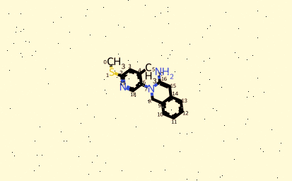 CSc1cc(C)c(N2Cc3ccccc3C=C2N)cn1